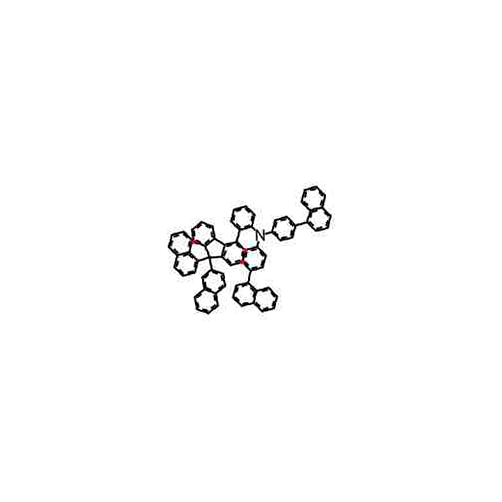 c1ccc(N(c2ccc(-c3cccc4ccccc34)cc2)c2ccc(-c3cccc4ccccc34)cc2)c(-c2cccc3c2-c2ccccc2C3(c2ccc3ccccc3c2)c2cccc3ccccc23)c1